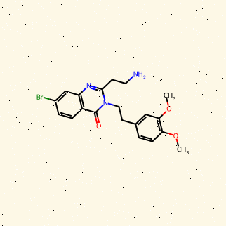 COc1ccc(CCn2c(CCN)nc3cc(Br)ccc3c2=O)cc1OC